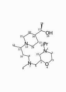 CC(C)N1CCOC(CN(C)CCC(C)N2CCC([C@@H](C)O)CC2)C1